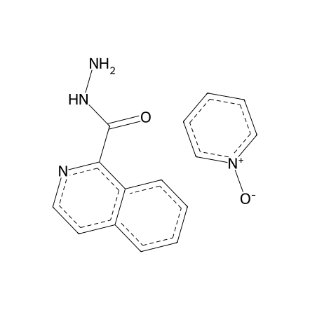 NNC(=O)c1nccc2ccccc12.[O-][n+]1ccccc1